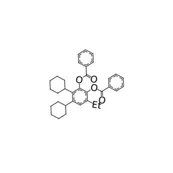 CCc1cc(C2CCCCC2)c(C2CCCCC2)c(OC(=O)c2ccccc2)c1OC(=O)c1ccccc1